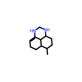 CC1CCC2NCNC3=CCCC1C32